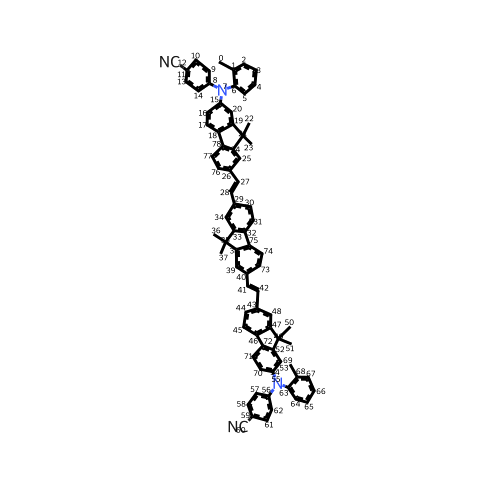 Cc1ccccc1N(c1ccc(C#N)cc1)c1ccc2c(c1)C(C)(C)c1cc(/C=C/c3ccc4c(c3)C(C)(C)c3cc(/C=C/c5ccc6c(c5)C(C)(C)c5cc(N(c7ccc(C#N)cc7)c7ccccc7C)ccc5-6)ccc3-4)ccc1-2